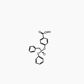 COC(=O)c1ccc(OP(=O)([CH]c2ccccc2)Oc2ccccc2)cc1